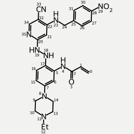 C=CC(=O)Nc1cc(N2CCN(CC)CC2)ccc1NNc1cc(NCc2ccc([N+](=O)[O-])cc2)c(C#N)cn1